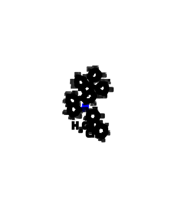 CC1(C)c2ccccc2-c2ccc(N(c3ccc4c(c3)-c3ccccc3C4(c3ccccc3)c3ccccc3)c3cccc4ccccc34)cc21